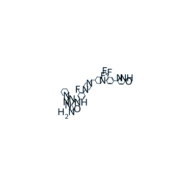 NC(=O)c1nnc(N2CCCCC2)nc1Nc1ccc(N2CCN(CC3CCN(c4ccc(-c5ccc(=O)[nH]n5)cc4C(F)(F)F)CC3)CC2)c(F)c1